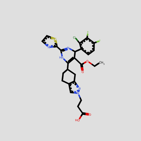 CCOC(=O)C1=C(C2CCc3cn(CCC(=O)O)nc3C2)NC(c2nccs2)=NC1c1ccc(F)c(F)c1Cl